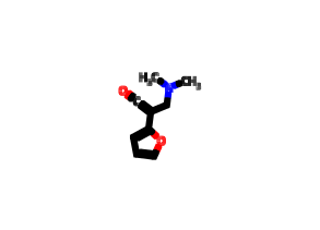 CN(C)CC(=C=O)c1ccco1